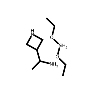 CC(N)C1CNC1.CCO[SiH2]OCC